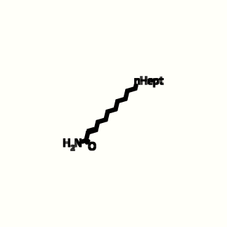 CCCCCCCCCCCCCCC/C=C/C(N)=O